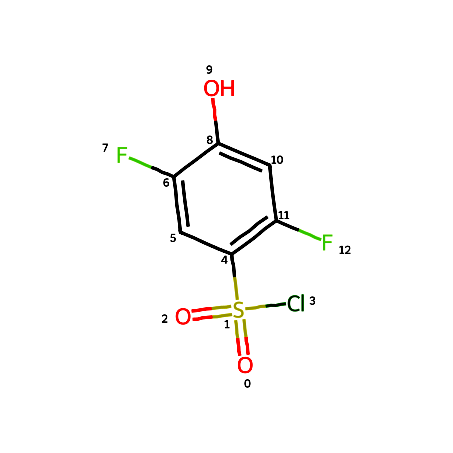 O=S(=O)(Cl)c1cc(F)c(O)cc1F